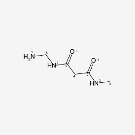 CNC(=O)CC(=O)NCN